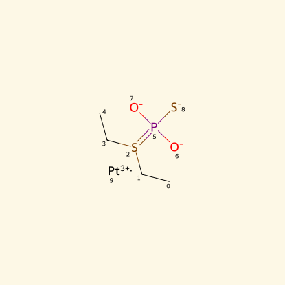 CCS(CC)=P([O-])([O-])[S-].[Pt+3]